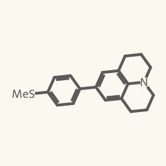 CSc1ccc(-c2cc3c4c(c2)CCCN4CCC3)cc1